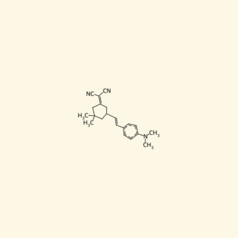 CN(C)c1ccc(C=CC2CC(=C(C#N)C#N)CC(C)(C)C2)cc1